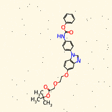 CC(C)(C)OC(=O)COCCOc1ccc2c(c1)ncn2-c1ccc(NC(=O)Oc2ccccc2)cc1